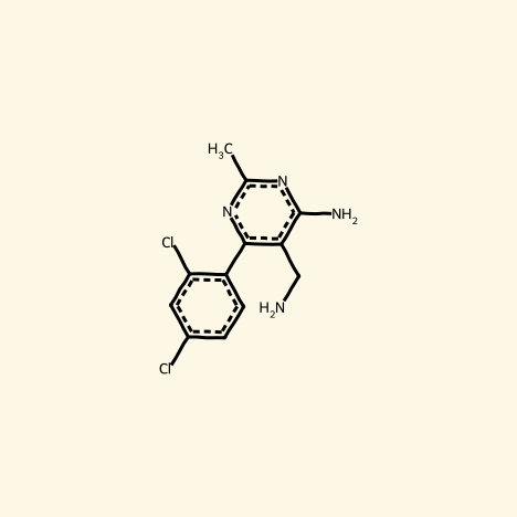 Cc1nc(N)c(CN)c(-c2ccc(Cl)cc2Cl)n1